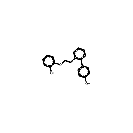 Oc1ccc(-c2ccccc2CCOc2ccccc2O)cc1